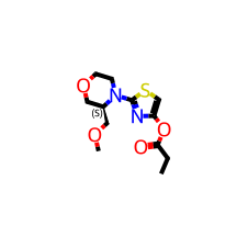 CCC(=O)Oc1csc(N2CCOC[C@@H]2COC)n1